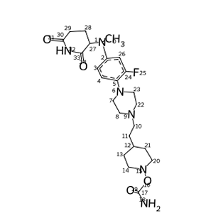 CN(c1ccc(N2CCN(CCC3CCN(OC(N)=O)CC3)CC2)c(F)c1)C1CCC(=O)NC1=O